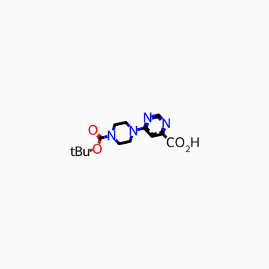 CC(C)(C)OC(=O)N1CCN(c2cc(C(=O)O)ncn2)CC1